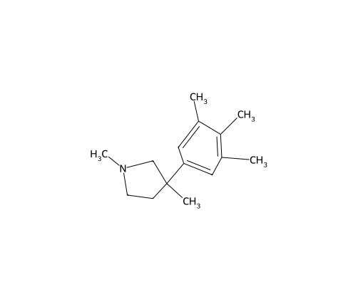 Cc1cc(C2(C)CCN(C)C2)cc(C)c1C